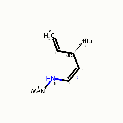 C=C[C@@H](/C=C\NNC)C(C)(C)C